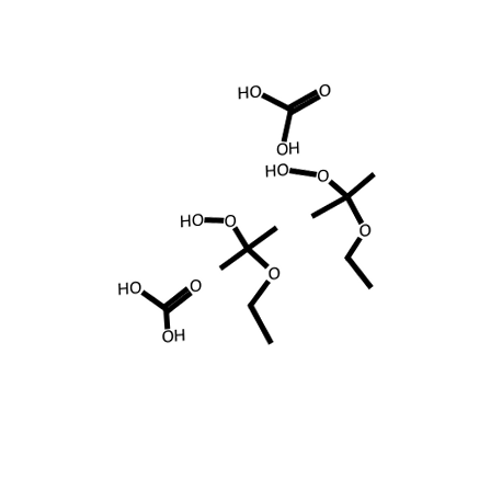 CCOC(C)(C)OO.CCOC(C)(C)OO.O=C(O)O.O=C(O)O